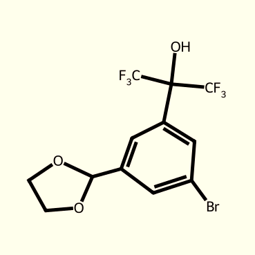 OC(c1cc(Br)cc(C2OCCO2)c1)(C(F)(F)F)C(F)(F)F